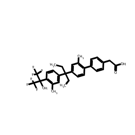 CCC(CC)(c1ccc(-c2ccc(CC(=O)O)cc2)c(C)c1)c1ccc(C(O)(C(F)(F)F)C(F)(F)F)c(C)c1